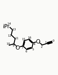 C#CCOc1ccc(OC(C)CCCC(C)C)cc1